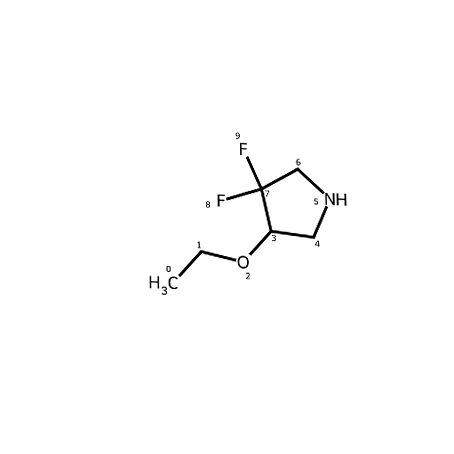 CCOC1CNCC1(F)F